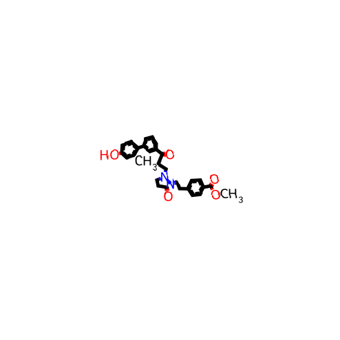 COC(=O)c1ccc(CCN2C(=O)CCN2CCC(=O)c2cccc(-c3ccc(O)cc3C)c2)cc1